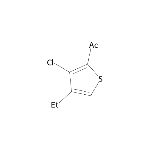 CCc1csc(C(C)=O)c1Cl